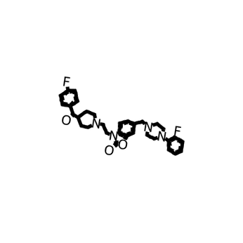 O=C(c1ccc(F)cc1)C1CCN(CCn2c(=O)oc3cc(CN4CCN(c5ccccc5F)CC4)ccc32)CC1